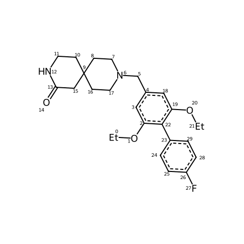 CCOc1cc(CN2CCC3(CCNC(=O)C3)CC2)cc(OCC)c1-c1ccc(F)cc1